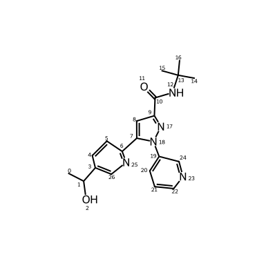 CC(O)c1ccc(-c2cc(C(=O)NC(C)(C)C)nn2-c2cccnc2)nc1